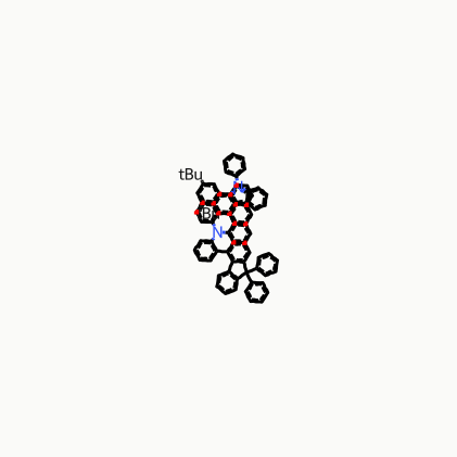 CC(C)(C)c1cc(-c2cccc3cccc(-c4ccccc4N(c4ccccc4-c4cccc5c4-c4ccccc4C5(c4ccccc4)c4ccccc4)c4ccccc4-c4cccc5c4c4ccccc4n5-c4ccccc4)c23)cc(C(C)(C)C)c1